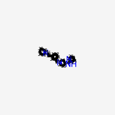 c1ccc(NC2CCN(Cc3cccc(CCN4CCCCC4)c3)CC2)nc1